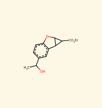 CCOC(=O)C1C2Oc3ccc(C(C)O)cc3C21